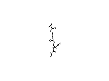 C=C(C)C(=O)OCCOC(=O)CCC(C)(C#N)SC(=S)SCC